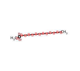 COCCOCCOCCOCCOCCOCCOCCOCCOCCOCCOCCOc1cc(Br)c(OC)cc1Br